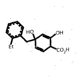 CCc1ccccc1CC1(O)C=CC(C(=O)O)C(O)=C1